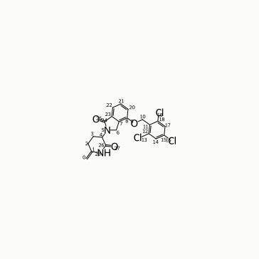 C=C1CCC(N2Cc3c(OCc4c(Cl)cc(Cl)cc4Cl)cccc3C2=O)C(=O)N1